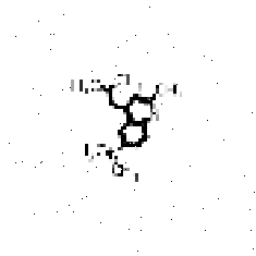 Cc1cc(CC(C)C)c2cc(N(C)C)ccc2n1